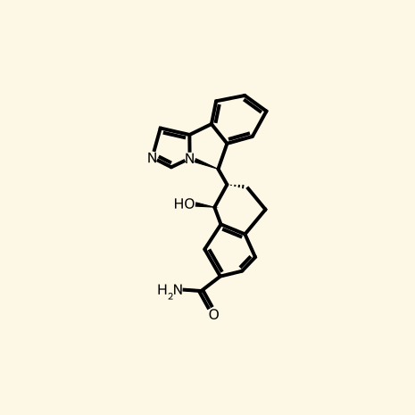 NC(=O)c1ccc2c(c1)[C@@H](O)[C@H]([C@@H]1c3ccccc3-c3cncn31)CC2